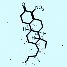 C[C@H](CS)[C@H]1CC[C@H]2[C@@H]3CCC4=C([N+](=O)[O-])C(=O)CC[C@]4(C)[C@H]3CC[C@]12C